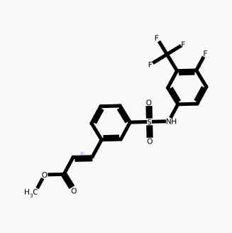 COC(=O)/C=C/c1cccc(S(=O)(=O)Nc2ccc(F)c(C(F)(F)F)c2)c1